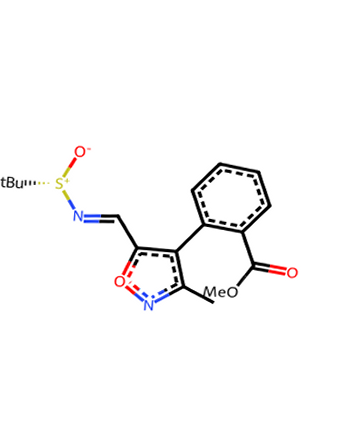 COC(=O)c1ccccc1-c1c(C)noc1/C=N/[S@@+]([O-])C(C)(C)C